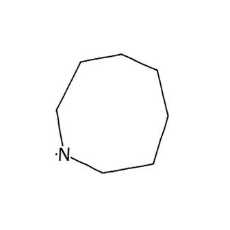 C1CCC[N]CCC1